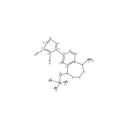 CC(C)[Si](OC1CCCC(N)c2ccc(-c3cccc(F)c3F)nc21)(C(C)C)C(C)C